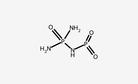 NP(N)(=O)NP(=O)=O